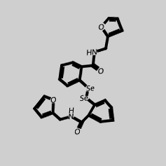 O=C(NCc1ccco1)c1ccccc1[Se][Se]c1ccccc1C(=O)NCc1ccco1